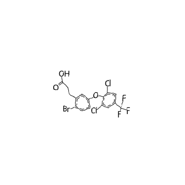 O=C(O)CCc1cc(Oc2c(Cl)cc(C(F)(F)F)cc2Cl)ccc1Br